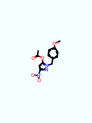 COc1ccc(Cn2nc([N+](=O)[O-])cc2OC(C)=O)cc1